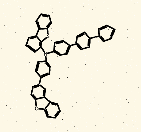 c1ccc(-c2ccc(-c3ccc(N(c4ccc(-c5ccc6oc7ccccc7c6c5)cc4)c4cccc5c4sc4ccccc45)cc3)cc2)cc1